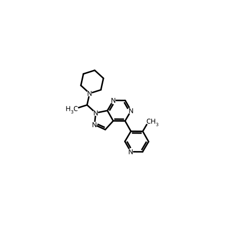 Cc1ccncc1-c1ncnc2c1cnn2C(C)N1CCCCC1